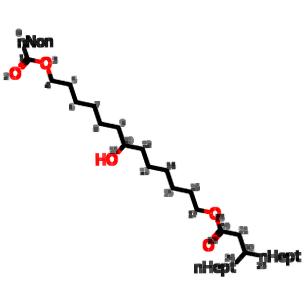 CCCCCCCCCC(=O)OCCCCCCC(O)CCCCCCOC(=O)CC(CCCCCCC)CCCCCCC